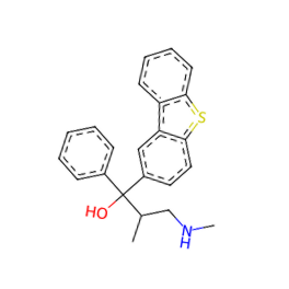 CNCC(C)C(O)(c1ccccc1)c1ccc2sc3ccccc3c2c1